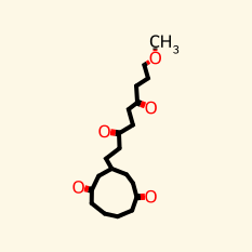 COCCCC(=O)CCC(=O)CCC1CCC(=O)CCCCC(=O)C1